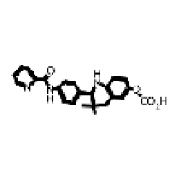 CC1(C)Cc2cc(OC(=O)O)ccc2NC1c1ccc(NC(=O)c2ccccn2)cc1